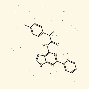 Cc1ccc(C(C)C(=O)Nc2nc(-c3ccccn3)nc3sccc23)cc1